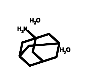 NC12CC3CC(CC(C3)C1)C2.O.O